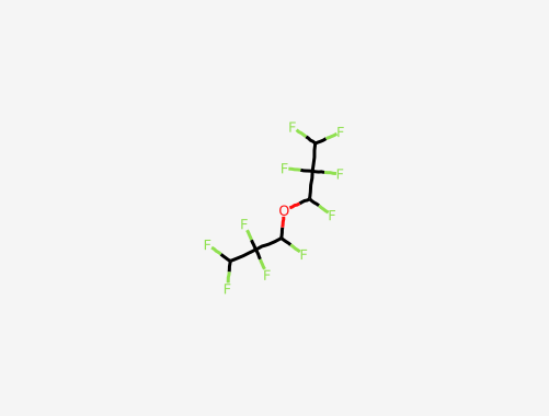 FC(F)C(F)(F)C(F)OC(F)C(F)(F)C(F)F